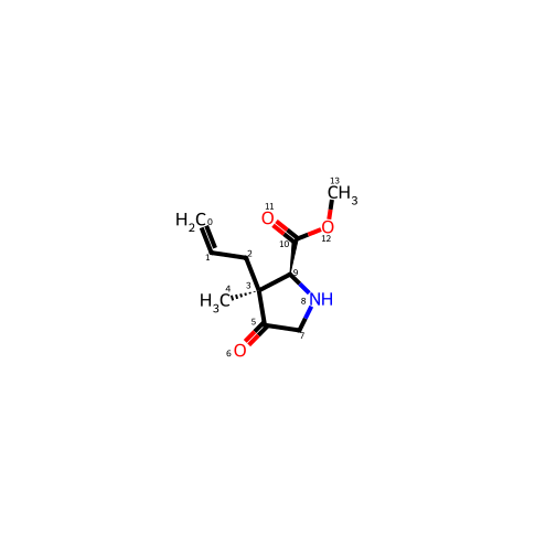 C=CC[C@]1(C)C(=O)CN[C@@H]1C(=O)OC